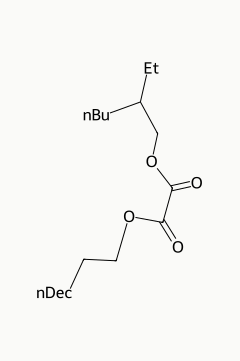 CCCCCCCCCCCCOC(=O)C(=O)OCC(CC)CCCC